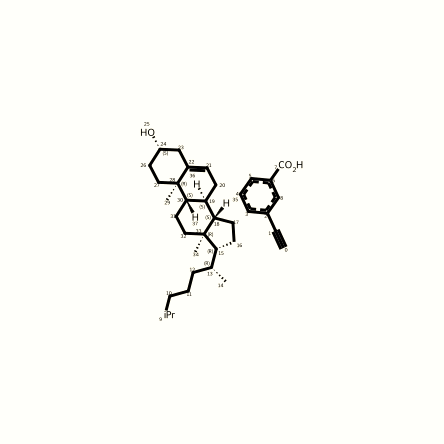 C#Cc1cccc(C(=O)O)c1.CC(C)CCC[C@@H](C)[C@H]1CC[C@H]2[C@@H]3CC=C4C[C@@H](O)CC[C@]4(C)[C@H]3CC[C@]12C